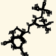 Nc1nc2c(c(=O)[nH]1)NCN2CCN(CCP(=O)(O)O)CP(=O)(O)O